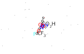 O=C(O)[C@H](Cc1ccc(-c2ccccc2)cc1)NC(=O)[C@@H]1Cc2ccc(OCc3cc(F)ccc3C(F)(F)F)cc2CN1C(=O)CC1CCCC1